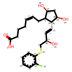 O=C(O)CCC/C=C\CC1[C@@H](/C=C/[C@@H](O)CSc2ccccc2F)[C@H](O)C[C@@H]1O